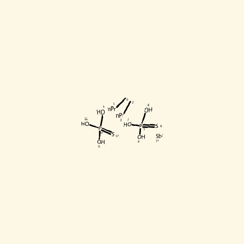 CCCC.CCCC.OP(O)(O)=S.OP(O)(O)=S.[Sb]